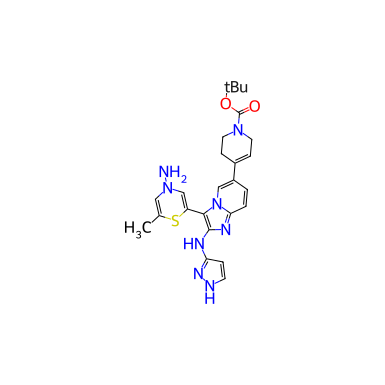 CC1=CN(N)C=C(c2c(Nc3cc[nH]n3)nc3ccc(C4=CCN(C(=O)OC(C)(C)C)CC4)cn23)S1